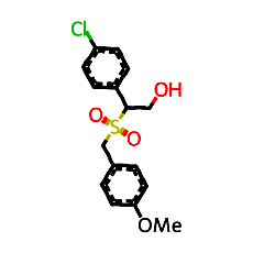 COc1ccc(CS(=O)(=O)C(CO)c2ccc(Cl)cc2)cc1